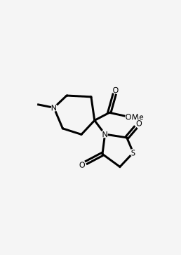 COC(=O)C1(N2C(=O)CSC2=O)CCN(C)CC1